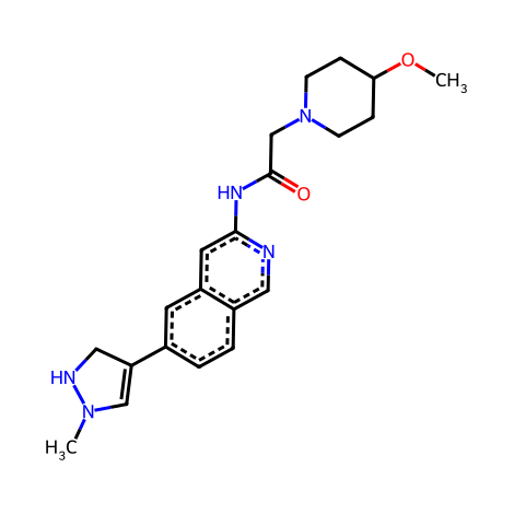 COC1CCN(CC(=O)Nc2cc3cc(C4=CN(C)NC4)ccc3cn2)CC1